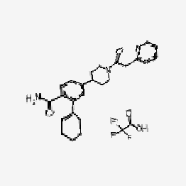 NC(=O)c1ccc(C2CCN(C(=O)Cc3ccccn3)CC2)cc1C1=CCCCC1.O=C(O)C(F)(F)F